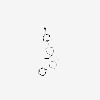 C#Cc1cnc(N2CCC3(CC2)O[C@@H]2CC[C@@H](c4ccccc4)N2C3=O)c(F)c1